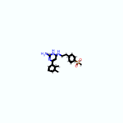 Cc1cccc(C2=CC(NCCc3ccc(S(C)(=O)=O)cc3)NC(N)=N2)c1C